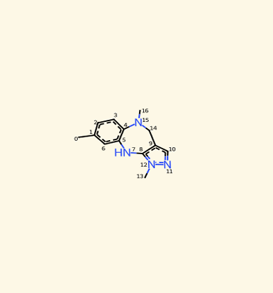 Cc1ccc2c(c1)Nc1c(cnn1C)CN2C